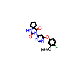 COc1cc(Oc2cc(N3C(=O)NC4(CCCC4)C3=O)ncn2)ccc1F